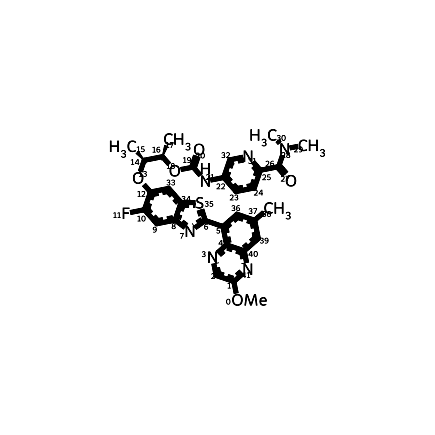 COc1cnc2c(-c3nc4cc(F)c(O[C@@H](C)[C@@H](C)OC(=O)Nc5ccc(C(=O)N(C)C)nc5)cc4s3)cc(C)cc2n1